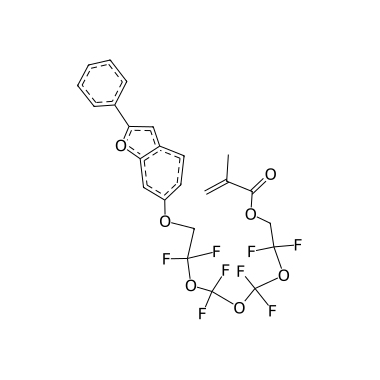 C=C(C)C(=O)OCC(F)(F)OC(F)(F)OC(F)(F)OC(F)(F)COc1ccc2cc(-c3ccccc3)oc2c1